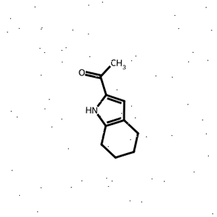 CC(=O)c1cc2c([nH]1)CCCC2